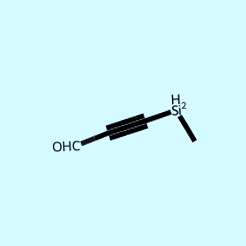 C[SiH2]C#CC=O